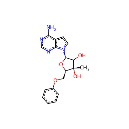 C[C@]1(O)C(O)[C@H](n2ccc3c(N)ncnc32)O[C@@H]1COc1ccccc1